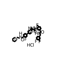 Cl.O=C(NCc1ccc(F)c(F)c1)c1ccc(F)c(NC(=O)c2cnc3cc(-c4ccc(C(=O)NCCN5CCCCC5)c(F)c4)ccn23)c1